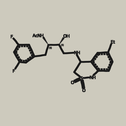 CCc1ccc2c(c1)C(NC[C@@H](O)[C@H](Cc1cc(F)cc(F)c1)NC(C)=O)CS(=O)(=O)N2